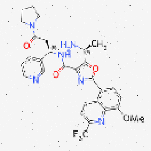 COc1ccc(-c2nc(C(=O)N[C@H](CC(=O)N3CCCC3)c3cccnc3)c([C@H](C)N)o2)c2ccc(C(F)(F)F)nc12